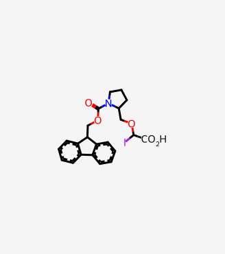 O=C(O)C(I)OCC1CCCN1C(=O)OCC1c2ccccc2-c2ccccc21